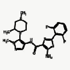 C[C@H]1CN(C)CCN1c1c(NC(=O)c2nc(-c3c(F)cccc3F)sc2N)cnn1C